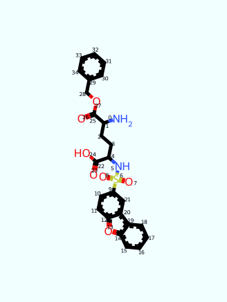 NC(CCC(NS(=O)(=O)c1ccc2oc3ccccc3c2c1)C(=O)O)C(=O)OCc1ccccc1